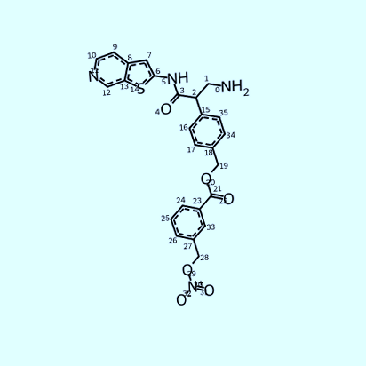 NCC(C(=O)Nc1cc2ccncc2s1)c1ccc(COC(=O)c2cccc(CO[N+](=O)[O-])c2)cc1